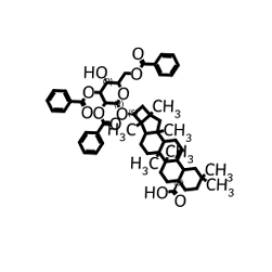 CC1(C)CC[C@]2(C(=O)O)CCC3(C)C(=CCC4C5(C)CC6(C)C[C@H](O[C@@H]7OC(COC(=O)c8ccccc8)[C@@H](O)C(OC(=O)c8ccccc8)C7OC(=O)c7ccccc7)C6(C)C5CCC43C)C2C1